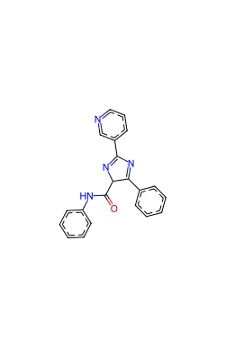 O=C(Nc1ccccc1)C1N=C(c2cccnc2)N=C1c1ccccc1